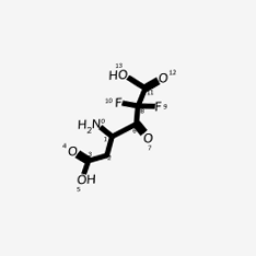 NC(CC(=O)O)C(=O)C(F)(F)C(=O)O